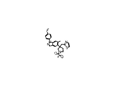 Cc1cc2c(cnn2-c2ccc(F)cc2)cc1C1(Cc2nccs2)CCN(S(C)(=O)=O)C1